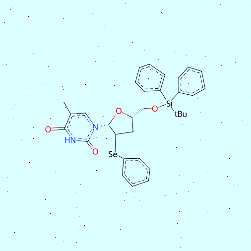 Cc1cn([C@@H]2O[C@H](CO[Si](c3ccccc3)(c3ccccc3)C(C)(C)C)CC2[Se]c2ccccc2)c(=O)[nH]c1=O